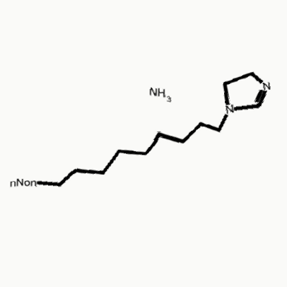 CCCCCCCCCCCCCCCCCCN1C=NCC1.N